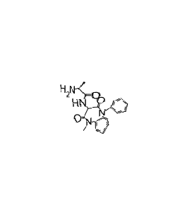 C[C@H](N)C(=O)NC1C(=O)N(C)c2ccccc2N(c2ccccc2)C1=O